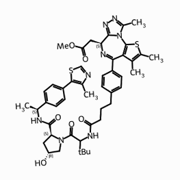 COC(=O)C[C@@H]1N=C(c2ccc(CCCC(=O)NC(C(=O)N3C[C@H](O)C[C@H]3C(=O)N[C@@H](C)c3ccc(-c4scnc4C)cc3)C(C)(C)C)cc2)c2c(sc(C)c2C)-n2c(C)nnc21